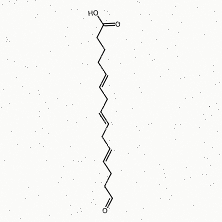 O=CCCC=CCC=CCC=CCCCC(=O)O